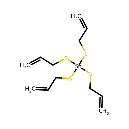 C=CC[S][Sn]([S]CC=C)([S]CC=C)[S]CC=C